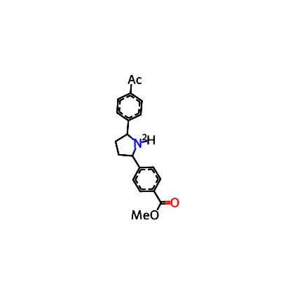 [2H]N1C(c2ccc(C(C)=O)cc2)CCC1c1ccc(C(=O)OC)cc1